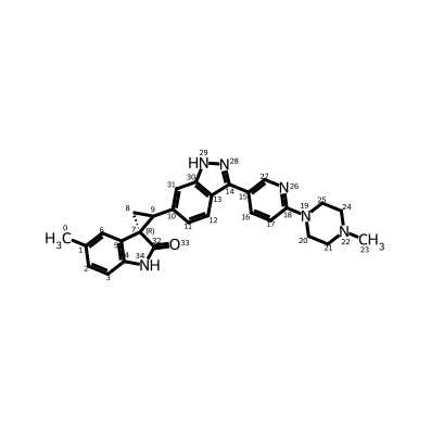 Cc1ccc2c(c1)[C@]1(CC1c1ccc3c(-c4ccc(N5CCN(C)CC5)nc4)n[nH]c3c1)C(=O)N2